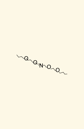 CCCCOCCCOCC[N]CCOCCCOCCCC